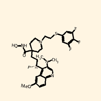 COc1ccc2ncc(N(C)C)c([C@H](F)CCC3(C(=O)NO)CCN(CCSc4cc(F)c(F)c(F)c4)CC3)c2c1